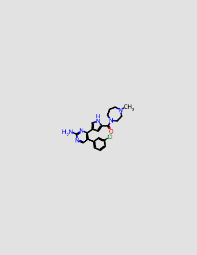 CN1CCCN(C(=O)c2cc(-c3nc(N)ncc3-c3cccc(Cl)c3)c[nH]2)CC1